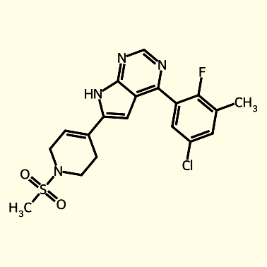 Cc1cc(Cl)cc(-c2ncnc3[nH]c(C4=CCN(S(C)(=O)=O)CC4)cc23)c1F